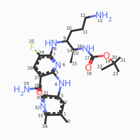 Cc1cc(Nc2nc(NC(CCCN)[C@H](C)NC(=O)OC(C)(C)C)c(F)cc2C(N)=O)cnc1C